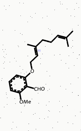 COc1cccc(OC/C=C(\C)CCC=C(C)C)c1C=O